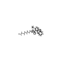 CCCCCCCCCCOC(=O)c1cccc2c1Cc1ccccc1O2.[K]